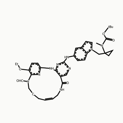 CCOc1ccc2nc1N(C=O)CCC/C=C\CNC(=O)c1cnc(Nc3ccc4c(ccn4CC4(N(C)C(=O)OC(C)(C)C)CC4)c3)nc1N2